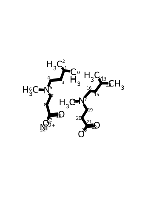 CC(C)CCN(C)CCC(=O)[O-].CC(C)CCN(C)CCC(=O)[O-].[Ni+2]